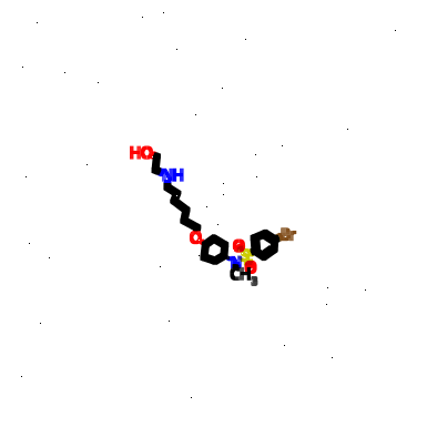 CN([C@H]1CC[C@H](OCCCCCCNCCO)CC1)S(=O)(=O)c1ccc(Br)cc1